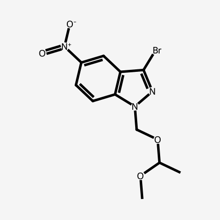 COC(C)OCn1nc(Br)c2cc([N+](=O)[O-])ccc21